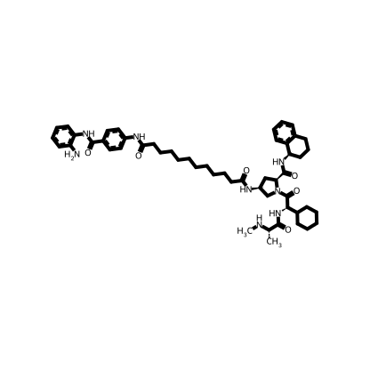 CN[C@@H](C)C(=O)N[C@H](C(=O)N1C[C@@H](NC(=O)CCCCCCCCCCC(=O)Nc2ccc(C(=O)Nc3ccccc3N)cc2)C[C@H]1C(=O)N[C@@H]1CCCc2ccccc21)C1CCCCC1